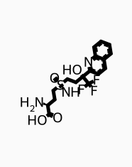 N=S(=O)(CC[C@H](N)C(=O)O)CCC(O)(c1ccc2ccccc2n1)C(F)(F)F